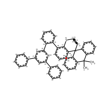 CC1(C)c2ccccc2C2(c3ccccc3Sc3c(-c4ccccc4-c4nc(-c5ccccc5)cc(-c5ccccc5)n4)cccc32)c2ccccc21